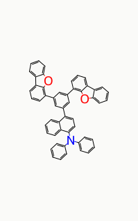 c1ccc(N(c2ccccc2)c2ccc(-c3cc(-c4cccc5c4oc4ccccc45)cc(-c4cccc5c4oc4ccccc45)c3)c3ccccc23)cc1